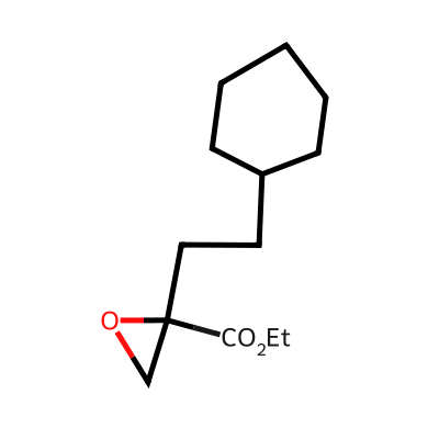 CCOC(=O)C1(CCC2CCCCC2)CO1